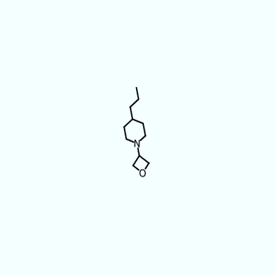 CCCC1CCN(C2COC2)CC1